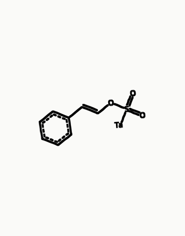 O=[S](=O)([Ta])OC=Cc1ccccc1